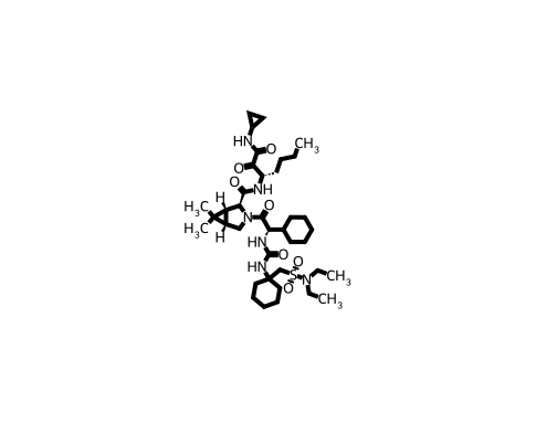 CCCC[C@H](NC(=O)[C@@H]1[C@@H]2[C@H](CN1C(=O)[C@@H](NC(=O)NC1(CS(=O)(=O)N(CC)CC)CCCCC1)C1CCCCC1)C2(C)C)C(=O)C(=O)NC1CC1